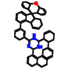 C1=CCCC(C2CCC=CC2C2NC(C3=CC(c4cccc5c4C4C=CCCC4C54C5C=CC=CC5OC5CCC=CC54)=CCC3)=NC(C3=C4C=CCCC4CC=C3)N2)=C1